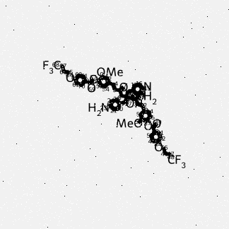 COc1cc(/C=C/C(=O)CC(Cc2ccc(N)cc2)(Cc2ccc(N)cc2)C(O)(O)C(=O)/C=C/c2ccc(OC(=O)c3ccc(OCCCC(F)(F)F)cc3)c(OC)c2)ccc1OC(=O)c1ccc(OCCCC(F)(F)F)cc1